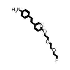 Nc1ccc(/C=C/c2ccc(OCCOCCOCCF)nc2)cc1